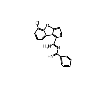 N=C(/N=C(\N)c1cccc2oc3c(Cl)cccc3c12)c1ccccc1